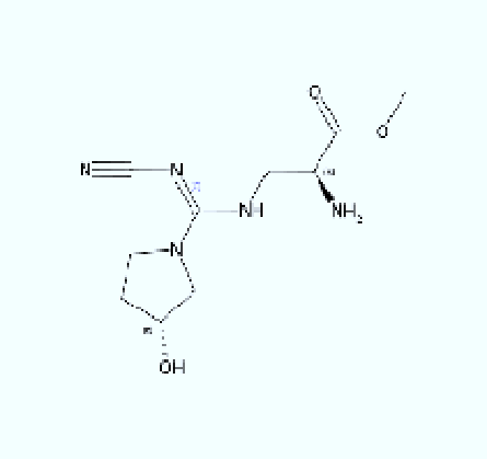 COC(=O)[C@@H](N)CN/C(=N/C#N)N1CC[C@@H](O)C1